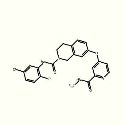 CNC(=O)c1cc(Oc2ccc3c(c2)CN(C(=O)Nc2cc(Cl)ccc2Cl)CC3)ccn1